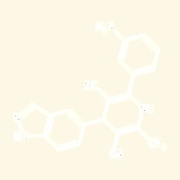 CC1=C(C#N)C(c2ccc3[nH]ncc3c2)C(C#N)=C(c2cccc(N)c2)N1